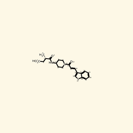 C[C@@H](CC(=O)O)C(=O)NC1CCN(C(=O)/C=C/c2csc3ccccc23)CC1